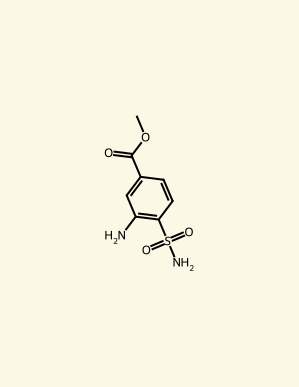 COC(=O)c1ccc(S(N)(=O)=O)c(N)c1